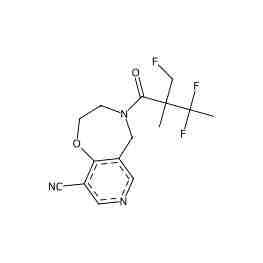 CC(F)(F)C(C)(CF)C(=O)N1CCOc2c(C#N)cncc2C1